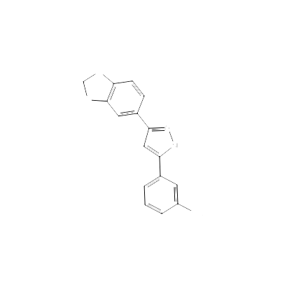 FC(F)(F)c1cccc(-c2cc(-c3ccc4c(c3)OCO4)n[nH]2)c1